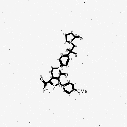 COc1ccc(-n2nc(C(N)=O)c3c2C(=O)N(c2ccc(C(C)(C)CN4CCCC4=O)cc2)CC3)cc1